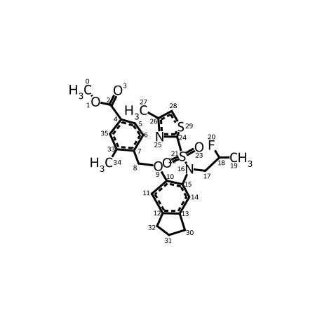 COC(=O)c1ccc(COc2cc3c(cc2N(CC(C)F)S(=O)(=O)c2nc(C)cs2)CCC3)c(C)c1